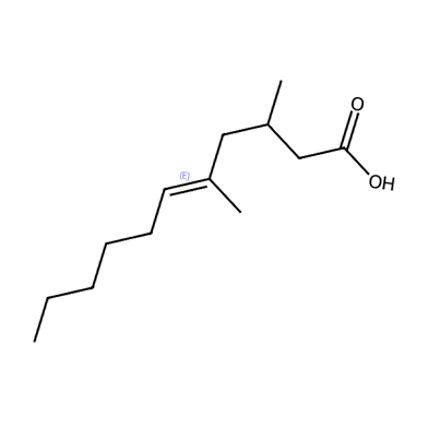 CCCCC/C=C(\C)CC(C)CC(=O)O